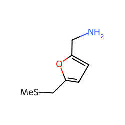 CSCc1ccc(CN)o1